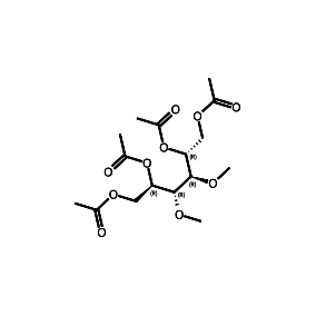 CO[C@@H]([C@H](OC)[C@@H](COC(C)=O)OC(C)=O)[C@@H](COC(C)=O)OC(C)=O